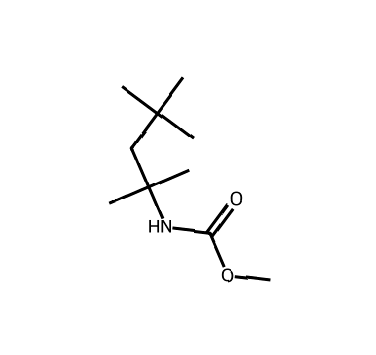 COC(=O)NC(C)(C)CC(C)(C)C